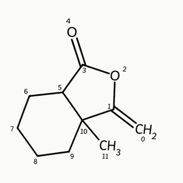 C=C1OC(=O)C2CCCCC12C